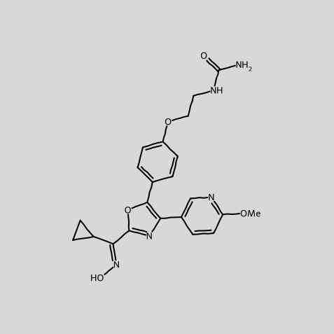 COc1ccc(-c2nc(C(=NO)C3CC3)oc2-c2ccc(OCCNC(N)=O)cc2)cn1